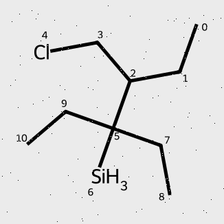 CCC(CCl)C([SiH3])(CC)CC